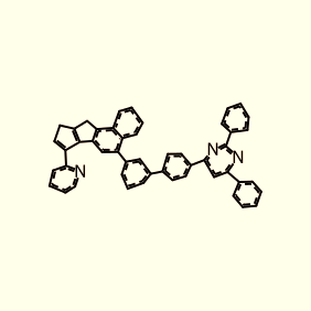 C1=C(c2ccccn2)C2=C(C1)Cc1c2cc(-c2cccc(-c3ccc(-c4cc(-c5ccccc5)nc(-c5ccccc5)n4)cc3)c2)c2ccccc12